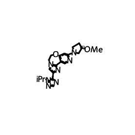 CO[C@H]1CCN(c2cc3c(cn2)-c2nc(-c4ncnn4C(C)C)cn2CCO3)C1